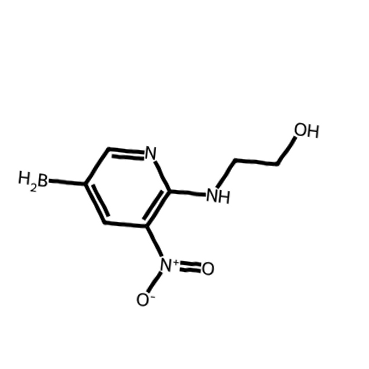 Bc1cnc(NCCO)c([N+](=O)[O-])c1